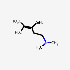 CC(C(=O)O)=C([SiH3])CCN(C)C